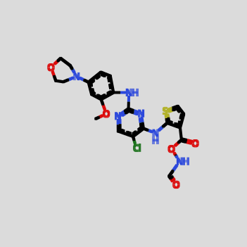 COc1cc(N2CCOCC2)ccc1Nc1ncc(Cl)c(Nc2sccc2C(=O)ONC=O)n1